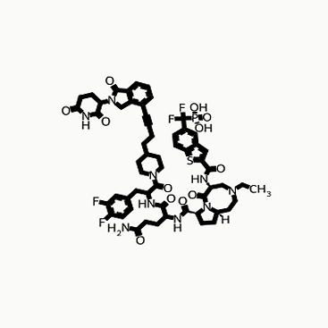 CCN1CC[C@H]2CC[C@@H](C(=O)NC(CCC(N)=O)C(=O)NC(Cc3ccc(F)c(F)c3)C(=O)N3CCC(CCC#Cc4cccc5c4CN(C4CCC(=O)NC4=O)C5=O)CC3)N2C(=O)[C@@H](NC(=O)c2cc3cc(C(F)(F)P(=O)(O)O)ccc3s2)C1